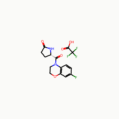 O=C(O)C(F)(F)F.O=C1CC[C@@H](C(=O)N2CCOc3cc(F)ccc32)N1